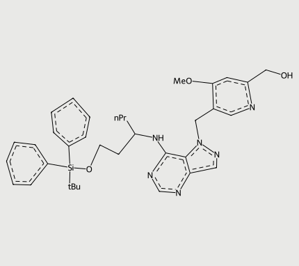 CCCC(CCO[Si](c1ccccc1)(c1ccccc1)C(C)(C)C)Nc1ncnc2cnn(Cc3cnc(CO)cc3OC)c12